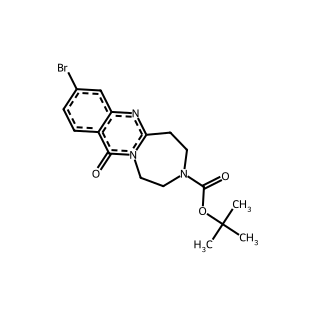 CC(C)(C)OC(=O)N1CCc2nc3cc(Br)ccc3c(=O)n2CC1